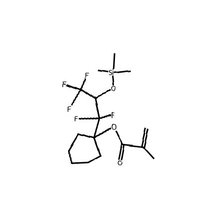 C=C(C)C(=O)OC1(C(F)(F)C(O[Si](C)(C)C)C(F)(F)F)CCCCC1